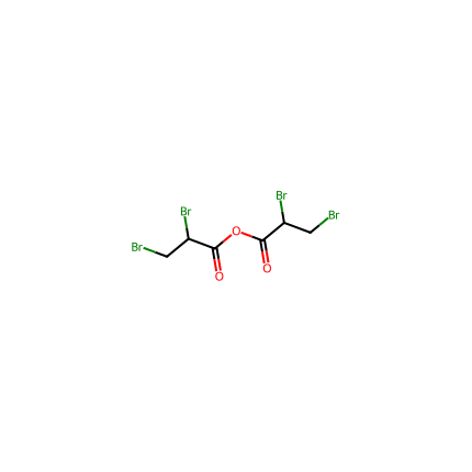 O=C(OC(=O)C(Br)CBr)C(Br)CBr